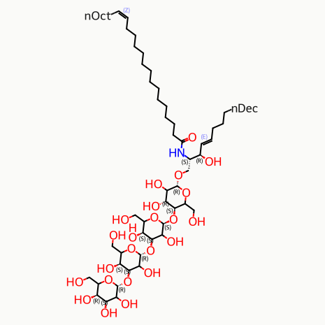 CCCCCCCC/C=C\CCCCCCCCCCCCCC(=O)N[C@@H](CO[C@@H]1OC(CO)[C@@H](O[C@@H]2OC(CO)[C@H](O)[C@H](O[C@H]3OC(CO)[C@H](O)[C@H](O[C@H]4OC(CO)[C@H](O)[C@H](O)C4O)C3O)C2O)[C@H](O)C1O)[C@H](O)/C=C/CCCCCCCCCCCCC